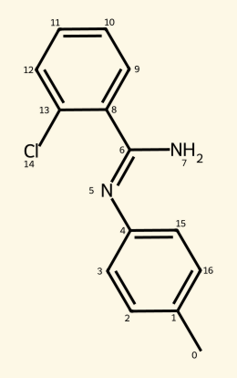 Cc1ccc(N=C(N)c2ccccc2Cl)cc1